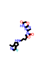 Cc1ncc(F)c2c1CC(NCCCc1cn(-c3cnc4c(n3)NC(=O)CO4)c(=O)o1)C2